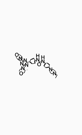 CCN1CCN(c2ccc(NC(=O)Nc3ccc(-c4nc(N5C6CCC5COC6)nc(N5CCOC[C@H]5C)n4)cc3)cc2)CC1